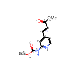 COC(=O)/C=C/c1ccnc(NC(=O)OC(C)(C)C)c1